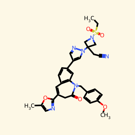 CCS(=O)(=O)N1CC(CC#N)(n2cc(-c3ccc4c(c3)N(Cc3ccc(OC)cc3)C(=O)CC(c3ncc(C)o3)=C4)cn2)C1